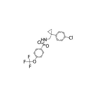 O=S(=O)(NCC1(c2ccc(Cl)cc2)CC1)c1ccc(OC(F)(F)F)cc1